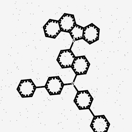 c1ccc(-c2ccc(N(c3ccc(-c4ccccc4)cc3)c3cccc4c(-n5c6ccccc6c6ccc7ccccc7c65)cccc34)cc2)cc1